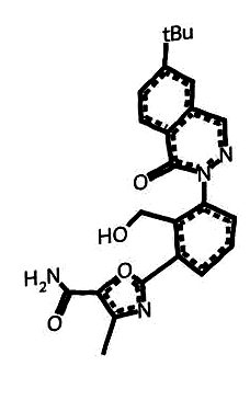 Cc1nc(-c2cccc(-n3ncc4cc(C(C)(C)C)ccc4c3=O)c2CO)oc1C(N)=O